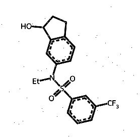 CCN(c1ccc2c(c1)C(O)CC2)S(=O)(=O)c1cccc(C(F)(F)F)c1